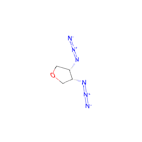 [N-]=[N+]=N[C@H]1COC[C@H]1N=[N+]=[N-]